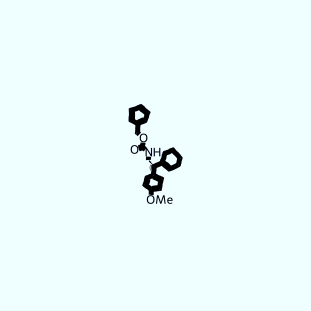 COc1ccc([C@H](CNC(=O)OCc2ccccc2)C2=CCCCC2)cc1